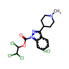 CN1CCC(c2nn(C(=O)OC(Cl)C(Cl)Cl)c3ccccc23)CC1.Cl